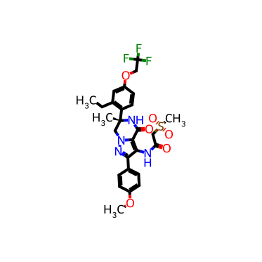 CCc1cc(OCC(F)(F)F)ccc1[C@@]1(C)Cn2nc(-c3ccc(OC)cc3)c(NC(=O)CS(C)(=O)=O)c2C(=O)N1